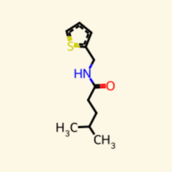 CC(C)CCC(=O)NCc1cccs1